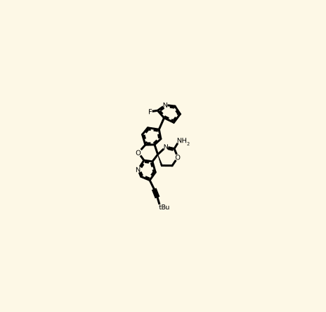 CC(C)(C)C#Cc1cnc2c(c1)[C@]1(CCOC(N)=N1)c1cc(-c3cccnc3F)ccc1O2